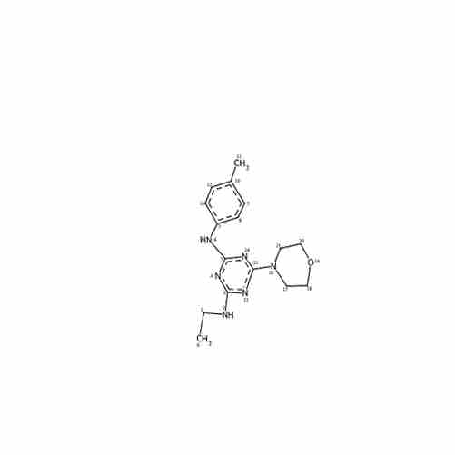 CCNc1nc(Nc2ccc(C)cc2)nc(N2CCOCC2)n1